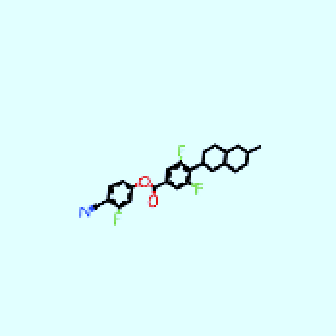 CC1CCC2CC(c3c(F)cc(C(=O)Oc4ccc(C#N)c(F)c4)cc3F)CCC2C1